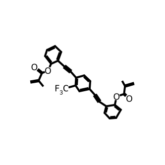 C=C(C)C(=O)Oc1ccccc1C#Cc1ccc(C#Cc2ccccc2OC(=O)C(=C)C)c(C(F)(F)F)c1